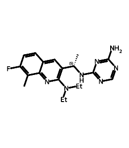 CCN(CC)c1nc2c(C)c(F)ccc2cc1[C@H](C)Nc1ncnc(N)n1